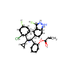 C=CC(=O)Oc1ccccc1/C(=C(/c1ccc(F)cc1Cl)C1CC1)c1ccc2[nH]nc(F)c2c1C#N